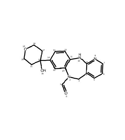 O=CN1Cc2cccnc2Nc2ccc(C3(O)CCOCC3)cc21